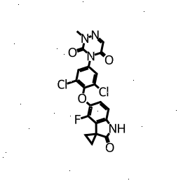 Cn1ncc(=O)n(-c2cc(Cl)c(Oc3ccc4c(c3F)C3(CC3)C(=O)N4)c(Cl)c2)c1=O